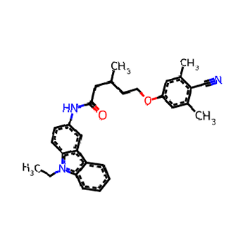 CCn1c2ccccc2c2cc(NC(=O)CC(C)CCOc3cc(C)c(C#N)c(C)c3)ccc21